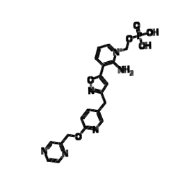 Nc1c(-c2cc(Cc3ccc(OCc4cnccn4)nc3)no2)ccc[n+]1COP(=O)(O)O